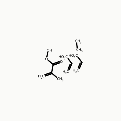 C=C(C)C(=O)OO.C=CC(=O)O.C=CC(=O)O.CC